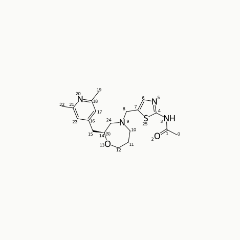 CC(=O)Nc1ncc(CN2CCCO[C@@H](Cc3cc(C)nc(C)c3)C2)s1